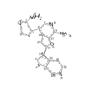 Nc1sccc1-c1cnc(N)c2oc(-c3csc4cnccc34)cc12